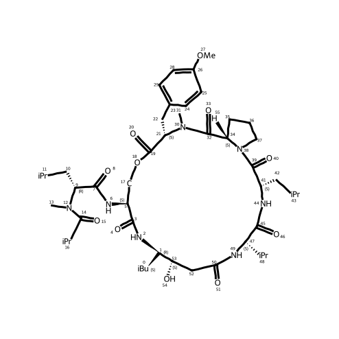 CC[C@H](C)[C@H]1NC(=O)[C@@H](NC(=O)[C@@H](CC(C)C)N(C)C(=O)C(C)C)COC(=O)[C@H](Cc2ccc(OC)cc2)N(C)C(=O)[C@@H]2CCCN2C(=O)[C@H](CC(C)C)NC(=O)[C@H](C(C)C)NC(=O)C[C@@H]1O